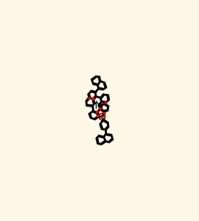 c1ccc(-c2cccc3ccccc23)c(-c2ccccc2N(c2ccc(-c3ccc(-c4cccc5ccccc45)cc3)cc2)c2ccccc2-c2cccc3oc4ccccc4c23)c1